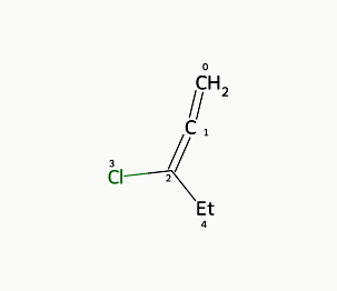 C=C=C(Cl)CC